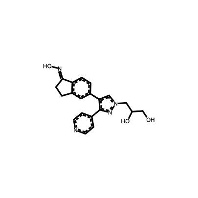 OCC(O)Cn1cc(-c2ccc3c(c2)CCC3=NO)c(-c2ccncc2)n1